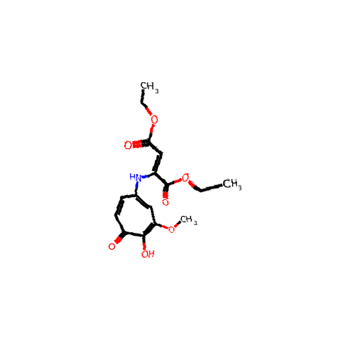 CCOC(=O)/C=C(\Nc1ccc(=O)c(O)c(OC)c1)C(=O)OCC